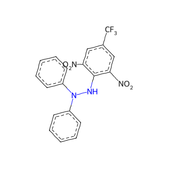 O=[N+]([O-])c1cc(C(F)(F)F)cc([N+](=O)[O-])c1NN(c1ccccc1)c1ccccc1